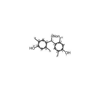 CCCCCCCCCC(c1cc(C)c(O)cc1C)c1cc(C)c(O)cc1C